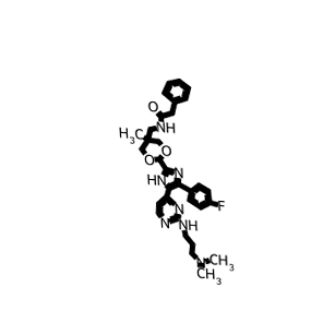 CN(C)CCCNc1nccc(-c2[nH]c(C3OCC(C)(CNC(=O)Cc4ccccc4)CO3)nc2-c2ccc(F)cc2)n1